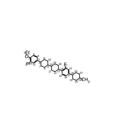 CCOc1ccc(C2CCC(C3CCC(c4ccc(C5CCC(C)CC5)cc4F)CC3)CC2)cc1F